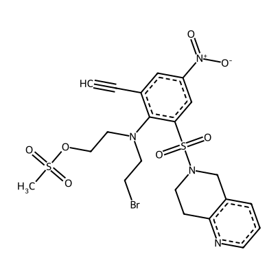 C#Cc1cc([N+](=O)[O-])cc(S(=O)(=O)N2CCc3ncccc3C2)c1N(CCBr)CCOS(C)(=O)=O